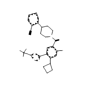 Cc1cc(C2CCC2)c(-c2nnc(C(F)(F)F)[nH]2)cc1C(=O)N1CCC(c2ccccc2C#N)CC1